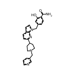 NC(=O)c1ccc(Cn2ccc3ccc(C4CCN(Cc5cccnc5)CC4)nc32)cc1O